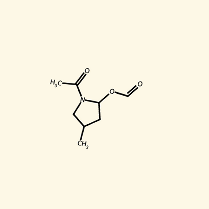 CC(=O)N1CC(C)CC1OC=O